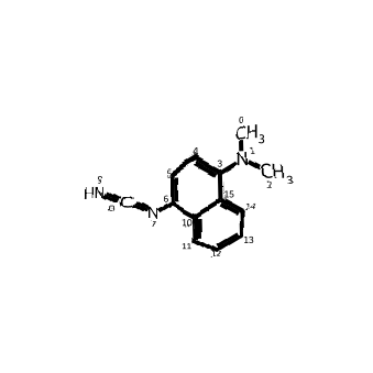 CN(C)c1ccc(N=C=N)c2ccccc12